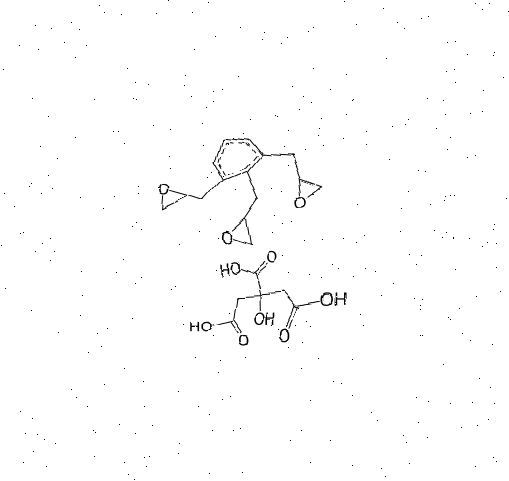 O=C(O)CC(O)(CC(=O)O)C(=O)O.c1cc(CC2CO2)c(CC2CO2)c(CC2CO2)c1